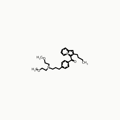 CCCCc1cc2ccccn2c1C(=O)c1ccc(CCCN(CCOC)CCOC)cc1